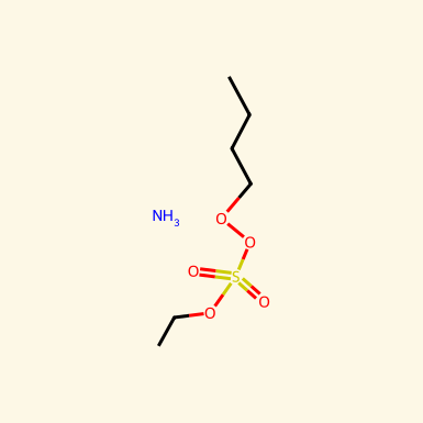 CCCCOOS(=O)(=O)OCC.N